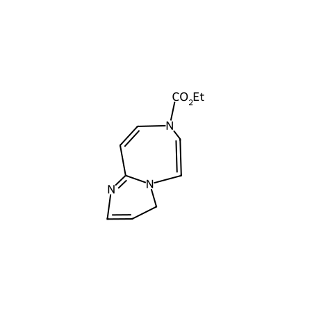 CCOC(=O)N1C=CC2=NC=CCN2C=C1